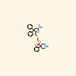 CCC(=O)C(CC(C)N(C)C)(c1ccccc1)c1ccccc1.CCOC(=O)C1(c2ccccc2)CCN(C)CC1